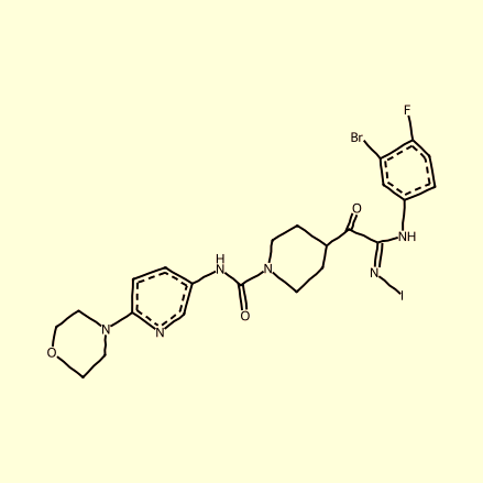 O=C(/C(=N/I)Nc1ccc(F)c(Br)c1)C1CCN(C(=O)Nc2ccc(N3CCOCC3)nc2)CC1